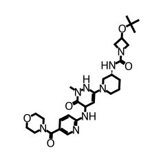 CN1NC(N2CCC[C@@H](NC(=O)N3CC(OC(C)(C)C)C3)C2)=CC(Nc2ccc(C(=O)N3CCOCC3)cn2)C1=O